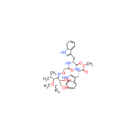 COC(=O)[C@H](Cc1c[nH]c2ccccc12)NC(=O)[C@H](Cc1c[nH]c2ccccc12)NC(=O)CO/N=C(/[C@@H](OC)C(C)C)[C@@H](O)[C@@H](C)O